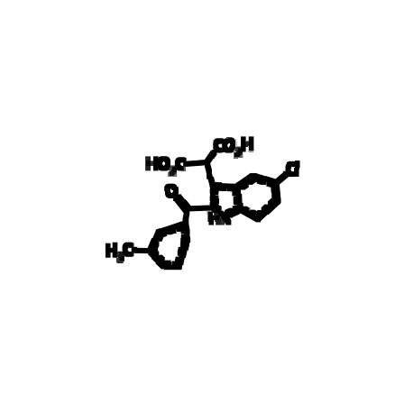 Cc1cccc(C(=O)c2[nH]c3ccc(Cl)cc3c2C(C(=O)O)C(=O)O)c1